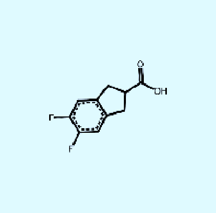 O=C(O)C1Cc2cc(F)c(F)cc2C1